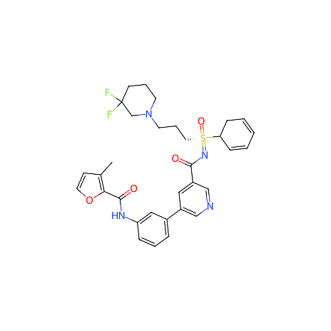 Cc1ccoc1C(=O)Nc1cccc(-c2cncc(C(=O)N=[S@](=O)(CCCN3CCCC(F)(F)C3)C3C=CC=CC3)c2)c1